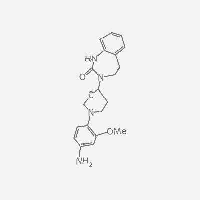 COc1cc(N)ccc1N1CCC(N2CCc3ccccc3NC2=O)CC1